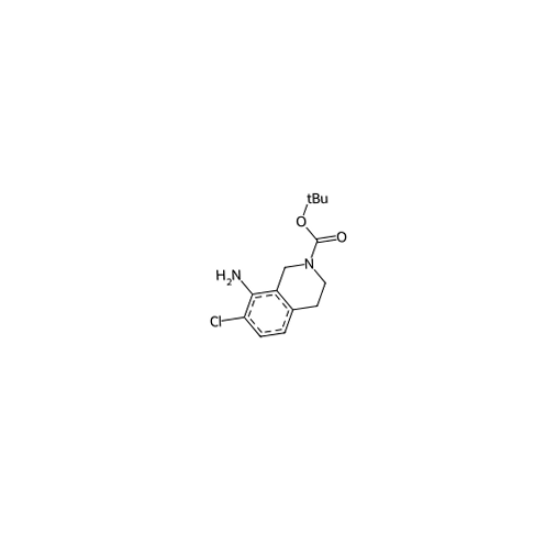 CC(C)(C)OC(=O)N1CCc2ccc(Cl)c(N)c2C1